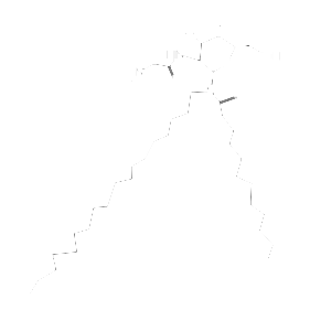 CCCCCCCCCCCCCCCCCCN(C(=O)CCCCCCCCCCC)[C@@H]1O[C@H](CO)[C@@H](O)[C@H](O)[C@]1(O)NC(=O)CN